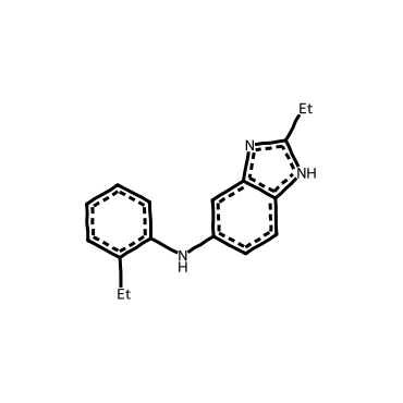 CCc1nc2cc(Nc3ccccc3CC)ccc2[nH]1